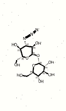 [N-]=[N+]=N[C@@H]1[C@@H](O)[C@@H](O[C@H]2O[C@H](CO)[C@@H](O)[C@H](O)[C@H]2O)O[C@H](CO)[C@H]1O